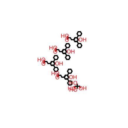 O=C(O)CCc1cc(C2CCCCC2)c(O)c(C2CCCCC2)c1.O=C(O)CCc1cc(C2CCCCC2)c(O)c(C2CCCCC2)c1.O=C(O)CCc1cc(C2CCCCC2)c(O)c(C2CCCCC2)c1.O=C(O)CCc1cc(C2CCCCC2)c(O)c(C2CCCCC2)c1.OCC(CO)(CO)CO